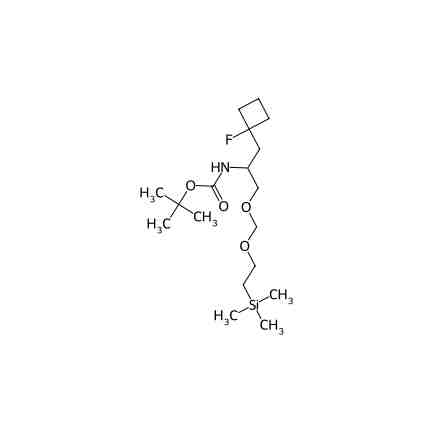 CC(C)(C)OC(=O)NC(COCOCC[Si](C)(C)C)CC1(F)CCC1